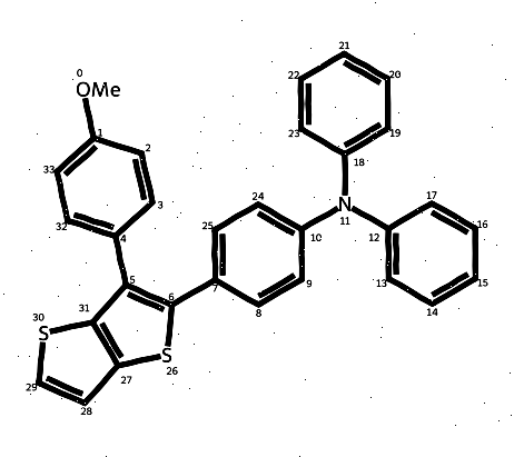 COc1ccc(-c2c(-c3ccc(N(c4ccccc4)c4ccccc4)cc3)sc3ccsc23)cc1